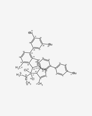 CC1=Cc2c(-c3ccc(C(C)(C)C)cc3)cccc2[CH]1[Zr]([Cl])([Cl])([CH]1C(C)=Cc2c(-c3cc(C(C)(C)C)cc(C(C)(C)C)c3)ccc(C)c21)[SiH](C)C